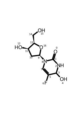 O=C1NC(O)C(F)=CN1[C@H]1C[C@@H](O)[C@@H](CO)O1